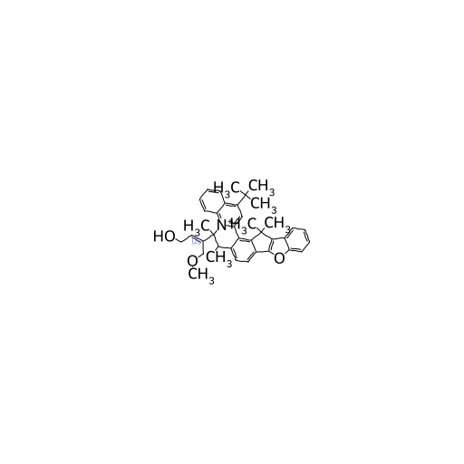 COC/C(=C\CO)C1(C)C(C)c2ccc3c(c2-c2cc(C(C)(C)C)c4ccccc4[n+]21)C(C)(C)c1c-3oc2ccccc12